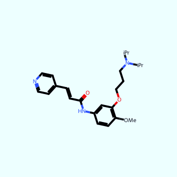 COc1ccc(NC(=O)C=Cc2ccncc2)cc1OCCCN(C(C)C)C(C)C